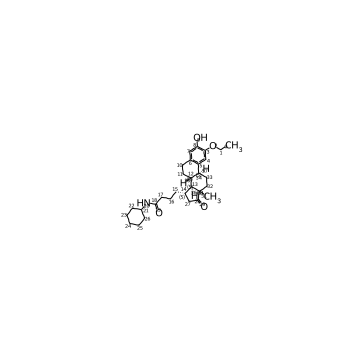 CCOc1cc2c(cc1O)CC[C@H]1[C@@H]3[C@@H](CCCC(=O)NC4CCCCC4)CC(=O)[C@@]3(C)CC[C@H]21